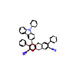 N#Cc1cc(-c2ccc3c(c2)c2ccccc2n3-c2ccccc2)c2c(c1)C1c3cc(C#N)c(-c4ccccc4)cc3C2c2cc(-c3ccccc3)c(C#N)cc21